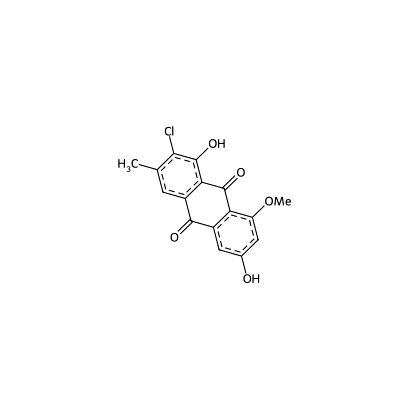 COc1cc(O)cc2c1C(=O)c1c(cc(C)c(Cl)c1O)C2=O